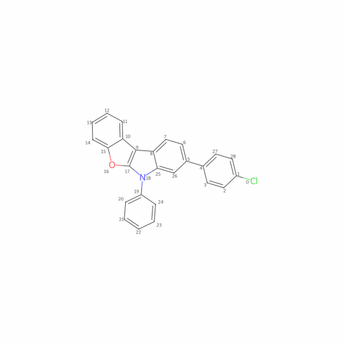 Clc1ccc(-c2ccc3c4c5ccccc5oc4n(-c4ccccc4)c3c2)cc1